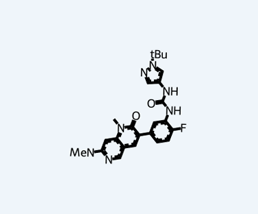 CNc1cc2c(cn1)cc(-c1ccc(F)c(NC(=O)Nc3cnn(C(C)(C)C)c3)c1)c(=O)n2C